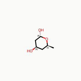 C[C@H]1C[C@@H](O)C[C@H](O)O1